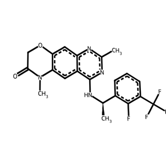 Cc1nc(N[C@H](C)c2cccc(C(F)(F)F)c2F)c2cc3c(cc2n1)OCC(=O)N3C